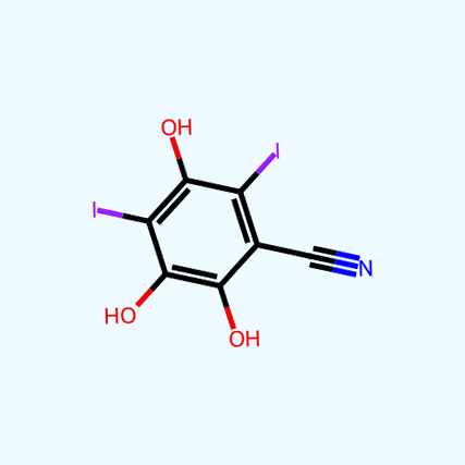 N#Cc1c(O)c(O)c(I)c(O)c1I